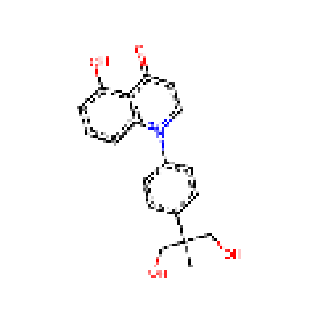 CC(CO)(CO)c1ccc(-n2ccc(=O)c3c(O)cccc32)cc1